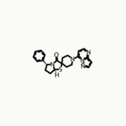 O=C1N2[C@H](CC[C@H]2c2ccccc2)SC12CCN(c1ccnc3ccnn13)CC2